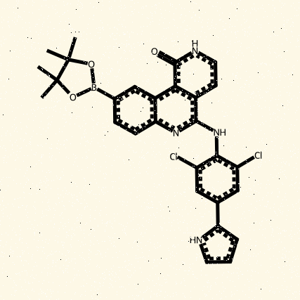 CC1(C)OB(c2ccc3nc(Nc4c(Cl)cc(-c5ccc[nH]5)cc4Cl)c4cc[nH]c(=O)c4c3c2)OC1(C)C